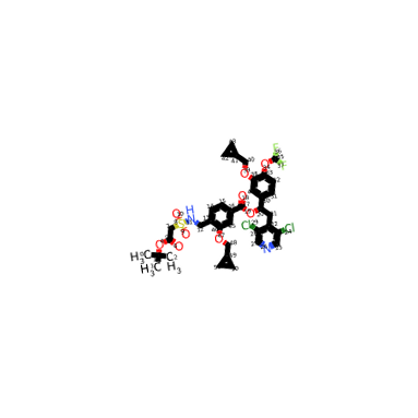 CC(C)(C)OC(=O)CS(=O)(=O)NCc1ccc(C(=O)OC(Cc2c(Cl)cncc2Cl)c2ccc(OC(F)F)c(OCC3CC3)c2)cc1OCC1CC1